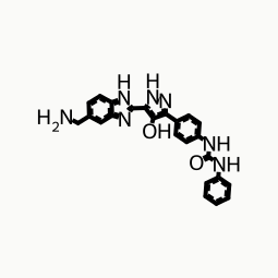 NCc1ccc2[nH]c(-c3[nH]nc(-c4ccc(NC(=O)Nc5ccccc5)cc4)c3O)nc2c1